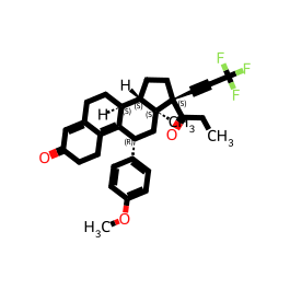 CCC(=O)[C@@]1(C#CC(F)(F)F)CC[C@H]2[C@@H]3CCC4=CC(=O)CCC4=C3[C@@H](c3ccc(OC)cc3)C[C@@]21C